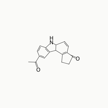 CC(=O)c1ccc2c(c1)C1C3=C(C=CC1N2)C(=O)CC3